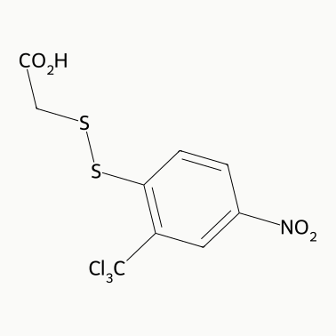 O=C(O)CSSc1ccc([N+](=O)[O-])cc1C(Cl)(Cl)Cl